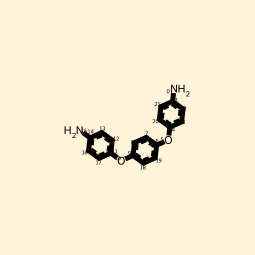 Nc1ccc(Oc2[c]cc(Oc3ccc(N)cc3)cc2)cc1